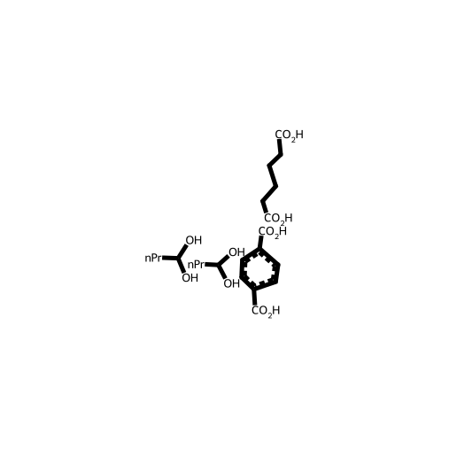 CCCC(O)O.CCCC(O)O.O=C(O)CCCCC(=O)O.O=C(O)c1ccc(C(=O)O)cc1